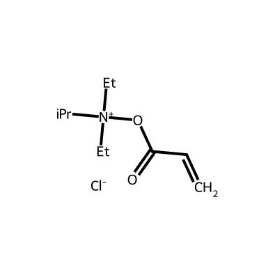 C=CC(=O)O[N+](CC)(CC)C(C)C.[Cl-]